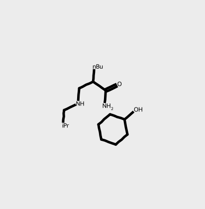 CCCCC(CNCC(C)C)C(N)=O.OC1CCCCC1